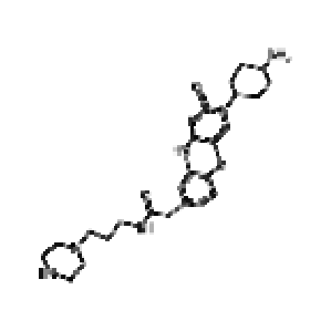 NC1CCC(n2cc3c(nc2=O)Nc2cc(CC(=O)NCCCN4CCNCC4)ccc2O3)CC1